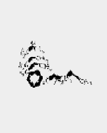 C=CC.C=CC.C=CC.C=CC.C=CC.[KH].c1ccccc1